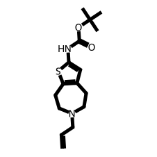 C=CCN1CCc2cc(NC(=O)OC(C)(C)C)sc2CC1